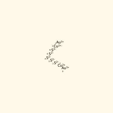 [Au+3].[Au+3].[Cu+2].[Cu+2].[S-2].[S-2].[S-2].[S-2].[S-2]